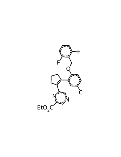 CCOC(=O)c1cncc(C2=C(c3cc(Cl)ccc3OCc3c(F)cccc3F)CCC2)n1